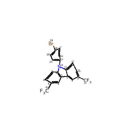 FC(F)(F)c1ccc2c(c1)c1cc(C(F)(F)F)ccc1n2-c1ccc(Br)cc1